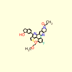 C=CC(=O)N1CCc2ncc(-c3nc(-c4ccc5c(c4)C(O)CC5)c4ccsc4c3-c3c(F)cc(F)cc3OCCOC)cc2C1